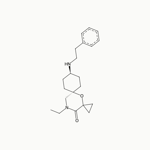 CCN1C[C@]2(CC[C@H](NCCc3ccccc3)CC2)OC2(CC2)C1=O